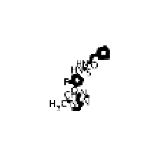 CC(C)n1ccc2ncnc(Oc3ccc(NC(=S)NC(=O)Cc4ccccc4)cc3F)c21